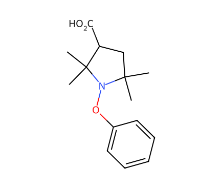 CC1(C)CC(C(=O)O)C(C)(C)N1Oc1ccccc1